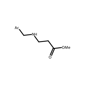 COC(=O)CCNCC(C)=O